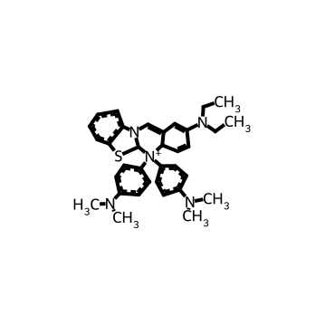 CCN(CC)C1=CC2=CN3c4ccccc4SC3[N+](c3ccc(N(C)C)cc3)(c3ccc(N(C)C)cc3)C2C=C1